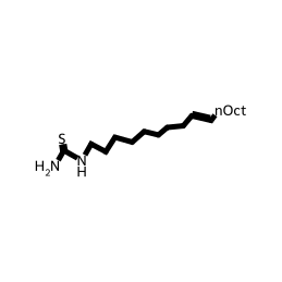 CCCCCCCCC=CCCCCCCCCNC(N)=S